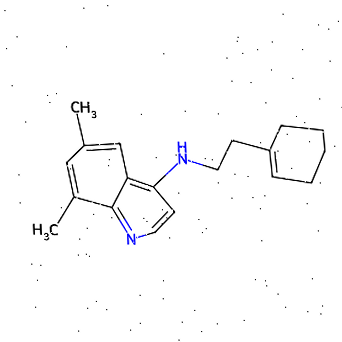 Cc1cc(C)c2nccc(NCCC3=CCCCC3)c2c1